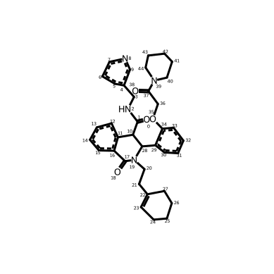 O=C(NCc1cccnc1)C1c2ccccc2C(=O)N(CCC2=CCCCC2)C1c1ccccc1OCC(=O)N1CCCCC1